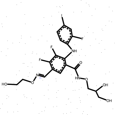 O=C(NOCC(O)CO)c1cc(/C=N/OCCO)c(F)c(F)c1Nc1ccc(I)cc1F